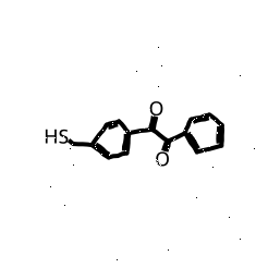 O=C(C(=O)c1ccc(CS)cc1)c1ccccc1